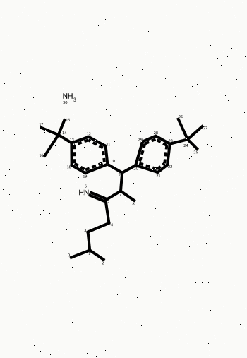 CC(C)CCC(=N)C(C)C(c1ccc(C(C)(C)C)cc1)c1ccc(C(C)(C)C)cc1.N